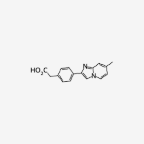 Cc1ccn2cc(-c3ccc(CC(=O)O)cc3)nc2c1